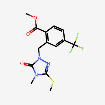 COC(=O)c1ccc(C(F)(F)F)cc1Cn1nc(SC)n(C)c1=O